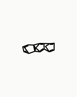 C1=C2CC(=C1)C1=C3CC(=C21)C1=C3C2=CC=C1C2